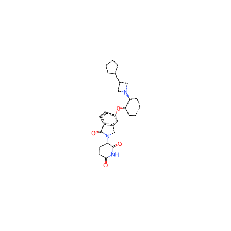 O=C1CCC(N2Cc3cc(O[C@@H]4CCCC[C@@H]4N4CC(C5CCCC5)C4)ccc3C2=O)C(=O)N1